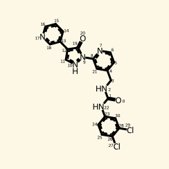 O=C(NCc1ccnc(-n2[nH]cc(-c3cccnc3)c2=O)c1)Nc1ccc(Cl)c(Cl)c1